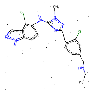 CCNCc1ccc(-c2nc(Nc3ccc4[nH]ncc4c3Cl)n(C)n2)c(Cl)c1